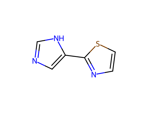 c1csc(-c2cnc[nH]2)n1